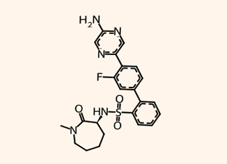 CN1CCCC[C@H](NS(=O)(=O)c2ccccc2-c2ccc(-c3cnc(N)cn3)c(F)c2)C1=O